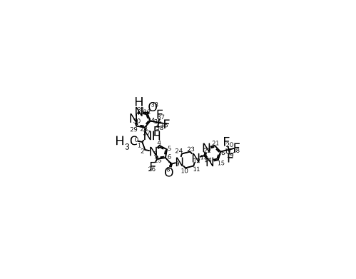 CC(Cn1ccc(C(=O)N2CCN(c3ncc(C(F)(F)F)cn3)CC2)c1F)Nc1cn[nH]c(=O)c1C(F)(F)F